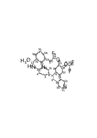 C[C@@H](Nc1ccc(C(Cc2ccncc2)c2ccc(OC(F)F)c(OC(F)F)c2)cn1)c1ccccc1